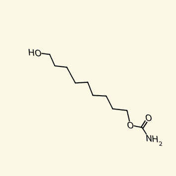 NC(=O)OCCCCCCCCCO